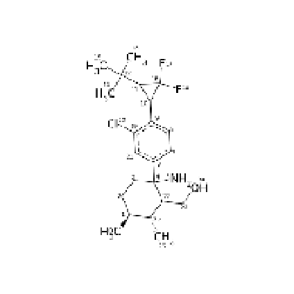 C[C@H]1CCC(N)(c2ccc(C3C(C(C)(C)C)C3(F)F)c(Cl)c2)C(CO)[C@@H]1C